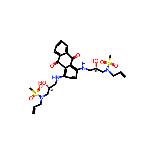 C=CCN(C[C@H](O)CNc1ccc(NC[C@H](O)CN(CC=C)S(C)(=O)=O)c2c1C(=O)c1ccccc1C2=O)S(C)(=O)=O